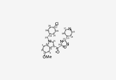 COc1ccc2c(c1)c(C(=O)c1nc(-c3ccncc3)no1)cn2Cc1ccc(Cl)cc1